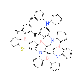 CC(C)c1cc(C(C)C)c(B2c3ccccc3Sc3cc4c(cc32)B2c3ccc(N(c5ccccc5)c5ccccc5)cc3N3c5ccccc5B5c6ccccc6N6c7ccccc7B7c8ccccc8N4c4c7c6c5c3c42)c(C(C)C)c1